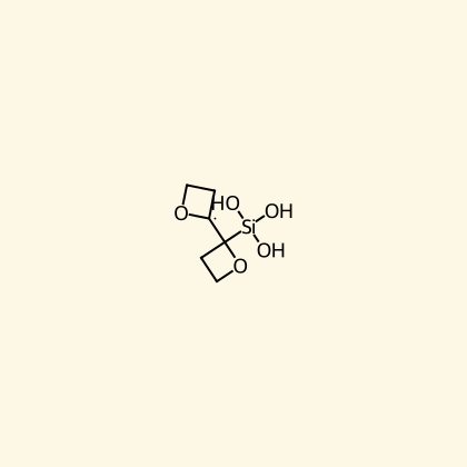 O[Si](O)(O)C1([C]2CCO2)CCO1